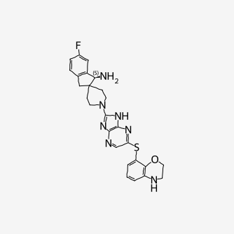 N[C@@H]1c2cc(F)ccc2CC12CCN(c1nc3ncc(Sc4cccc5c4OCCN5)nc3[nH]1)CC2